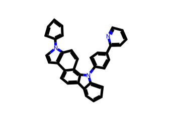 c1ccc(-n2ccc3c4ccc5c6ccccc6n(-c6ccc(-c7ccccn7)cc6)c5c4ccc32)cc1